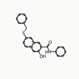 O=C(Nc1ccccc1)c1cc2cc(SCc3ccccc3)ccc2cc1O